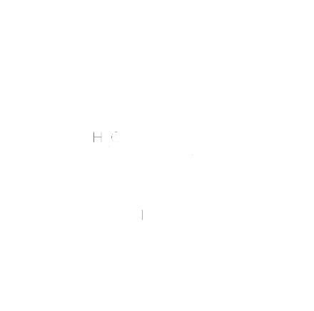 CC12CCCC1C2I